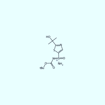 CC(C)(C)OC(=O)N=[S@](N)(=O)c1cnc(C(C)(C)O)s1